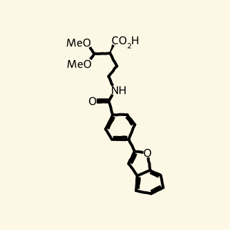 COC(OC)[C@H](CCNC(=O)c1ccc(-c2cc3ccccc3o2)cc1)C(=O)O